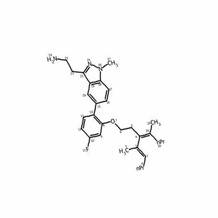 CCC/C=C(C)/C(CCOc1cc(F)ccc1-c1ccc2c(c1)c(CCN)nn2C)=C(/C)CCC